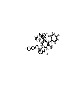 C[C@@H](C(=O)[O-])c1ccc(-c2ccccc2)c(F)c1.O.O.[Na+]